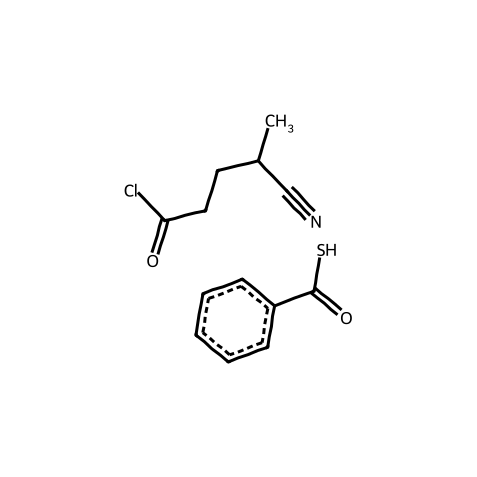 CC(C#N)CCC(=O)Cl.O=C(S)c1ccccc1